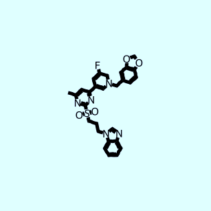 Cc1cc(C2=CN(Cc3ccc4c(c3)OCO4)CC(F)=C2)nc(S(=O)(=O)CCCn2cnc3ccccc32)n1